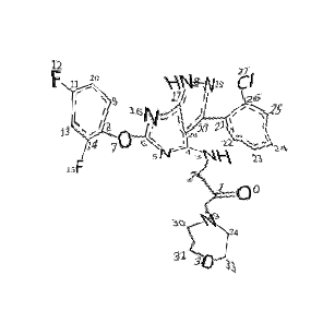 O=C(CNc1nc(Oc2ccc(F)cc2F)nc2[nH]nc(-c3ccccc3Cl)c12)N1CCOCC1